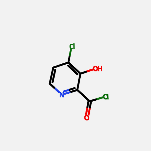 O=C(Cl)c1nccc(Cl)c1O